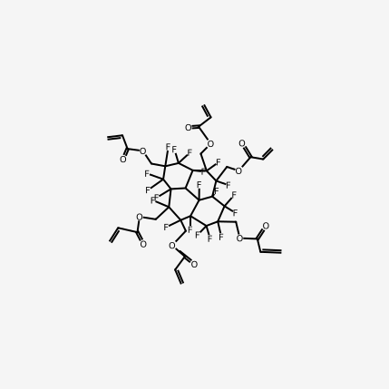 C=CC(=O)OCC1(F)C(F)(F)C2(F)C3C(F)(C1(F)F)C(F)(COC(=O)C=C)C(F)(COC(=O)C=C)C1(F)C(F)(F)C(F)(COC(=O)C=C)C(F)(F)C(F)(C(F)(COC(=O)C=C)C2(F)COC(=O)C=C)C31F